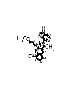 COCCCNc1nc2c(Cl)cccc2cc1C(C)Nc1ncnc2[nH]cnc12